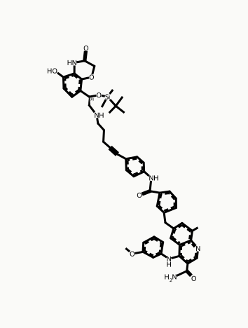 COc1cccc(Nc2c(C(N)=O)cnc3c(C)cc(Cc4cccc(C(=O)Nc5ccc(C#CCCCNC[C@H](O[Si](C)(C)C(C)(C)C)c6ccc(O)c7c6OCC(=O)N7)cc5)c4)cc23)c1